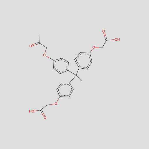 CC(=O)COc1ccc(C(C)(c2ccc(OCC(=O)O)cc2)c2ccc(OCC(=O)O)cc2)cc1